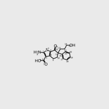 Nc1sc2c(c1C(=O)O)CCC(CCCO)(c1ccccc1)C2=O